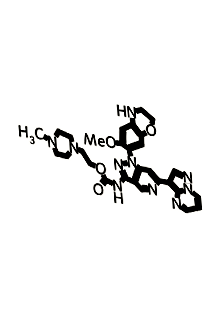 COc1cc2c(cc1-n1nc(NC(=O)OCCN3CCN(C)CC3)c3cnc(-c4cnn5cccnc45)cc31)OCCN2